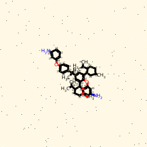 CC1CCC(C(C)C)C(c2cc(C(C)(C)c3ccc(Oc4cccc(N)c4)cc3)cc(C3CC(C)CCC3C(C)C)c2Oc2cccc(N)c2)C1